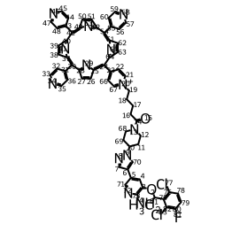 CC(Oc1cc(-c2cnn(C3CCN(C(=O)CCCC[n+]4ccc(C5=C6C=CC(=N6)C(c6ccncc6)=C6C=CC(=N6)C(c6ccncc6)=C6C=CC(=N6)C(c6ccncc6)=C6C=CC5=N6)cc4)CC3)c2)cnc1N)c1c(Cl)ccc(F)c1Cl